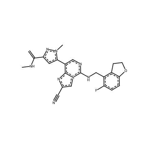 C=C(NC)c1cc(-c2cnc(NCc3c(F)ccc4c3CCO4)n3cc(C#N)nc23)n(C)n1